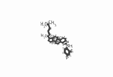 CC(C)CCCC(C)C1CC[C@H]2[C@@H]3CC=C4c5sc(Nc6ccc(F)cc6F)nc5CC[C@]4(C)[C@H]3CC[C@]12C